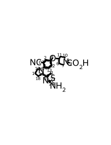 N#Cc1cc(OC2CCN(C(=O)O)CC2)ccc1N1CCCC1c1csc(N)n1